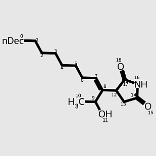 CCCCCCCCCCCCCCCCC=C(C(C)O)C1CC(=O)NC1=O